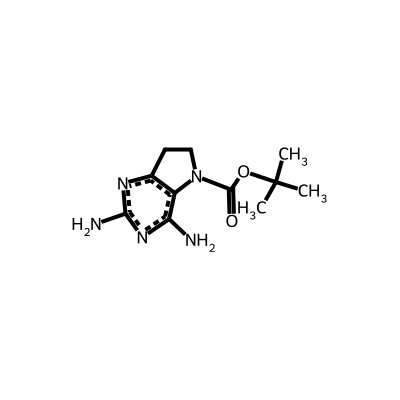 CC(C)(C)OC(=O)N1CCc2nc(N)nc(N)c21